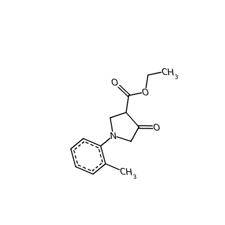 CCOC(=O)C1CN(c2ccccc2C)CC1=O